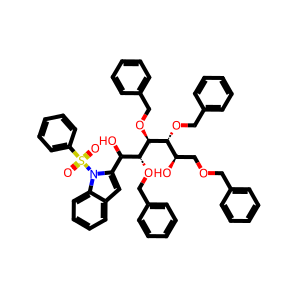 O=S(=O)(c1ccccc1)n1c(C(O)[C@@H](OCc2ccccc2)[C@@H](OCc2ccccc2)[C@H](OCc2ccccc2)[C@H](O)COCc2ccccc2)cc2ccccc21